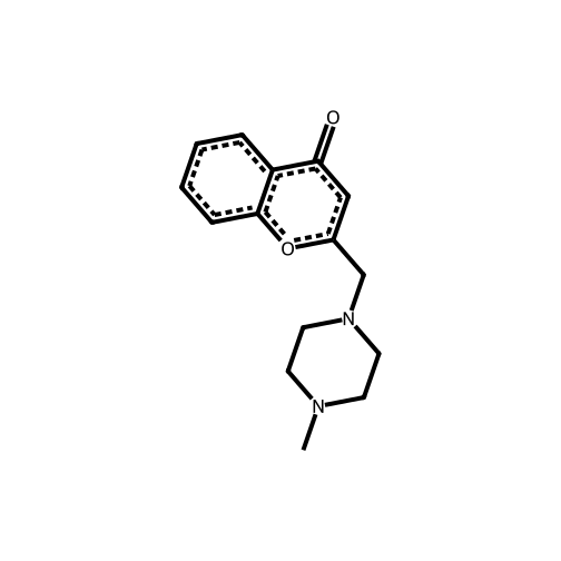 CN1CCN(Cc2cc(=O)c3ccccc3o2)CC1